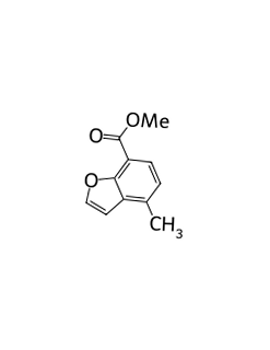 COC(=O)c1ccc(C)c2ccoc12